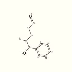 CC(CCC=O)C([O])c1ccccc1